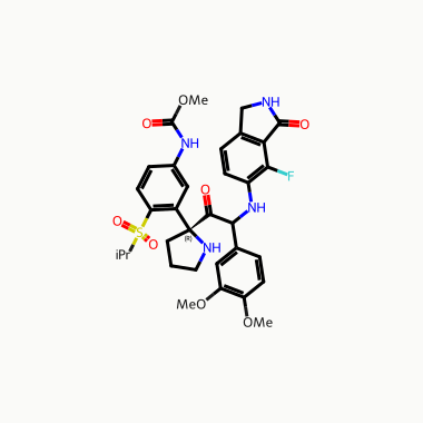 COC(=O)Nc1ccc(S(=O)(=O)C(C)C)c([C@@]2(C(=O)C(Nc3ccc4c(c3F)C(=O)NC4)c3ccc(OC)c(OC)c3)CCCN2)c1